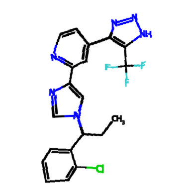 CCC(c1ccccc1Cl)n1cnc(-c2cc(-c3nn[nH]c3C(F)(F)F)ccn2)c1